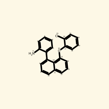 Nc1ccccc1-c1cccc2cccc(Oc3ccccc3Cl)c12